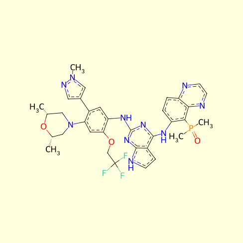 C[C@@H]1CN(c2cc(OCC(F)(F)F)c(Nc3nc(Nc4ccc5nccnc5c4P(C)(C)=O)c4cc[nH]c4n3)cc2-c2cnn(C)c2)C[C@H](C)O1